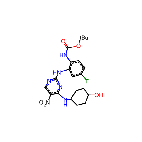 CC(C)(C)OC(=O)Nc1ccc(F)cc1Nc1ncc([N+](=O)[O-])c(NC2CCC(O)CC2)n1